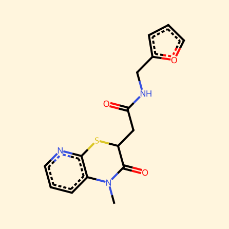 CN1C(=O)C(CC(=O)NCc2ccco2)Sc2ncccc21